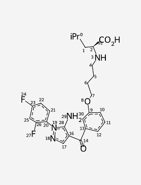 CC(C)C[C@H](NCCCCOc1cccc(C(=O)c2cnn(-c3ccc(F)cc3F)c2N)c1)C(=O)O